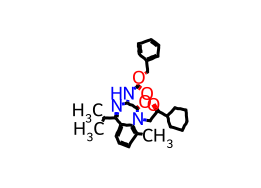 Cc1cccc2c1N(CC(=O)C1CCCCC1)C(=O)C(NC(=O)OCc1ccccc1)N=C2C(C)C